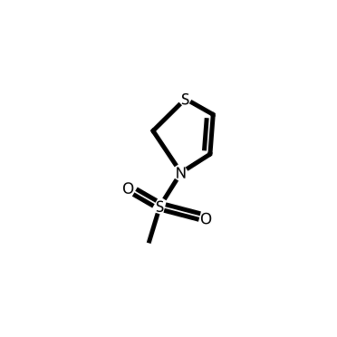 CS(=O)(=O)N1C=CSC1